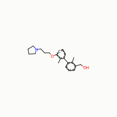 Cc1c(CO)cccc1-c1cccc(OCCCN2CCCC2)c1C